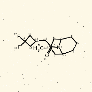 CN1CC2CCCC(C1)N2C(=O)CC1CC(F)(F)C1